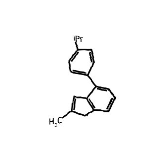 CC1=Cc2c(cccc2-c2ccc(C(C)C)cc2)[CH]1